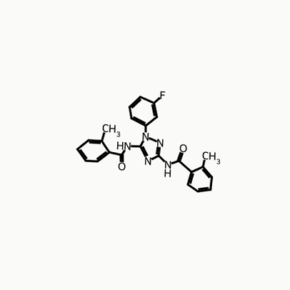 Cc1ccccc1C(=O)Nc1nc(NC(=O)c2ccccc2C)n(-c2cccc(F)c2)n1